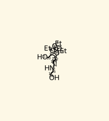 CCO[Si](OCC)(OCC)O[SiH](CCO)CCCNCCO